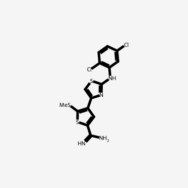 CSc1sc(C(=N)N)cc1-c1csc(Nc2cc(Cl)ccc2Cl)n1